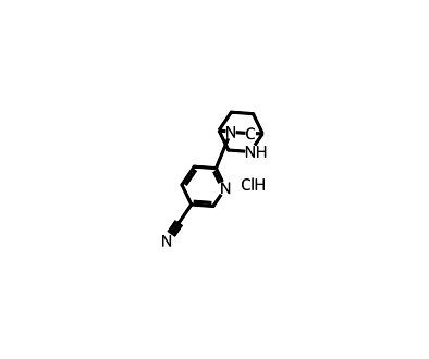 Cl.N#Cc1ccc(N2CC3CCC2CN3)nc1